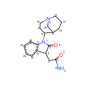 NC(=O)CC1C(=O)N(C2CCN3CCCC2C3)c2ccccc21